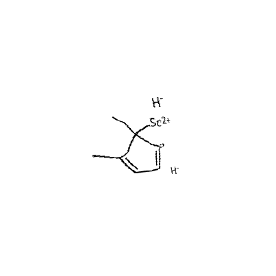 CC1=CC=P[C]1(C)[Sc+2].[H-].[H-]